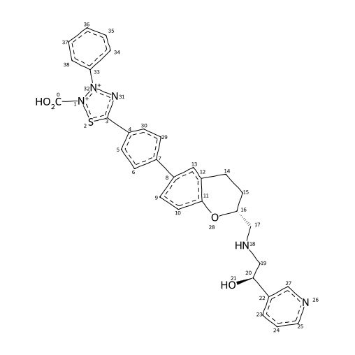 O=C(O)[n+]1sc(-c2ccc(-c3ccc4c(c3)CC[C@H](CNC[C@H](O)c3cccnc3)O4)cc2)n[n+]1-c1ccccc1